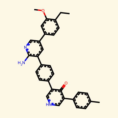 CCc1ccc(-c2cnc(N)c(-c3ccc(-c4c[nH]cc(-c5ccc(C)cc5)c4=O)cc3)c2)cc1OC